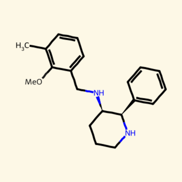 COc1c(C)cccc1CN[C@@H]1CCCN[C@@H]1c1ccccc1